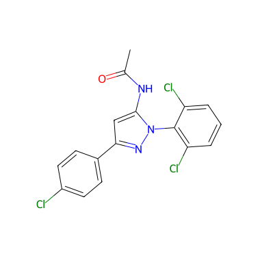 CC(=O)Nc1cc(-c2ccc(Cl)cc2)nn1-c1c(Cl)cccc1Cl